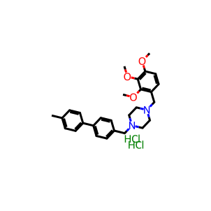 COc1ccc(CN2CCN(Cc3ccc(-c4ccc(C)cc4)cc3)CC2)c(OC)c1OC.Cl.Cl